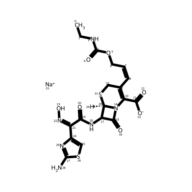 CCNC(=O)OC/C=C\C1=C(C(=O)[O-])N2C(=O)C(NC(=O)/C(=N\O)c3csc(N)n3)[C@H]2SC1.[Na+]